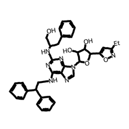 CCc1cc(C2OC(n3cnc4c(NCC(c5ccccc5)c5ccccc5)nc(NC(CO)Cc5ccccc5)nc43)C(O)C2O)on1